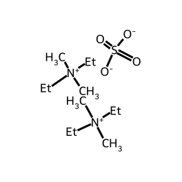 CC[N+](C)(C)CC.CC[N+](C)(C)CC.O=S(=O)([O-])[O-]